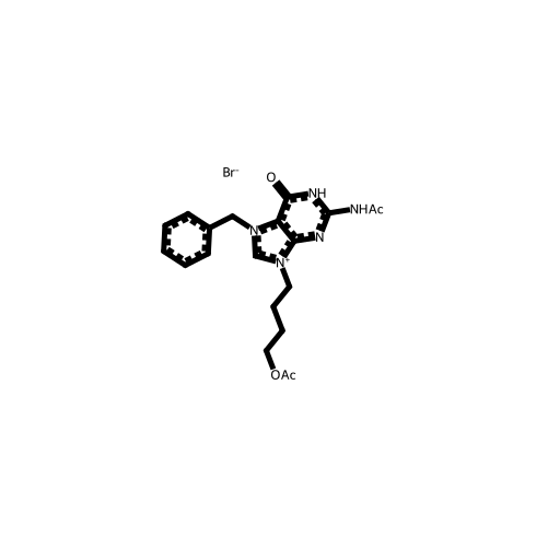 CC(=O)Nc1nc2c(c(=O)[nH]1)n(Cc1ccccc1)c[n+]2CCCCOC(C)=O.[Br-]